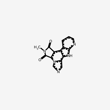 CN1C(=O)c2c(n3cncc3c3[nH]c4ncccc4c23)C1=O